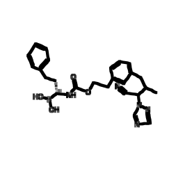 CC(Cc1cccc(CCOC(=O)N[C@@H](CCc2ccccc2)B(O)O)c1)C(C#N)n1cncn1